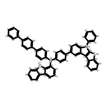 c1ccc(-c2ccc(-c3ccc(N(c4ccc(-c5ccc6c(c5)c5c7ccccc7sc5n6-c5ccccc5)cc4)c4cccc5c4oc4ccccc45)cc3)cc2)cc1